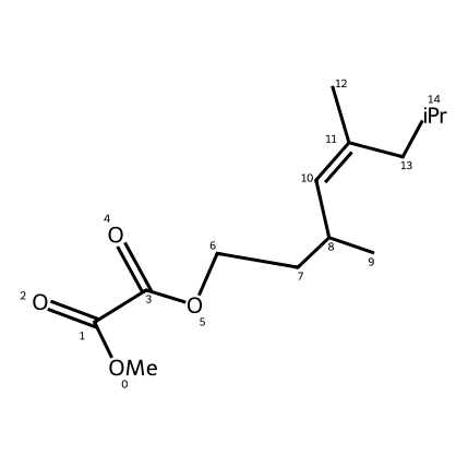 COC(=O)C(=O)OCCC(C)C=C(C)CC(C)C